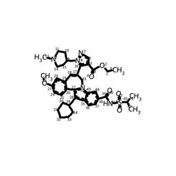 CCOC(=O)c1cnn(C2CCN(C)CC2)c1C1=Cc2cc(OC)ccc2-c2c(C3CCCCC3)c3ccc(C(=O)NS(=O)(=O)C(C)C)cc3n2C1